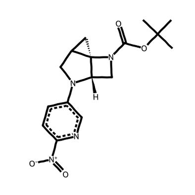 CC(C)(C)OC(=O)N1C[C@@H]2N(c3ccc([N+](=O)[O-])nc3)CC3C[C@@]321